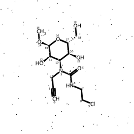 C#CCN(C(=O)NCCCl)[C@H]1[C@@H](O)[C@@H](OC)O[C@H](CO)[C@H]1O